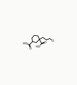 O=C(O)C1CCCC(CCCCl)(C(=O)O)C1